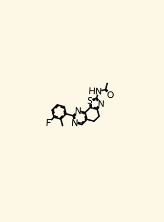 CC(=O)Nc1nc2c(s1)-c1nc(-c3cccc(F)c3C)ncc1CC2